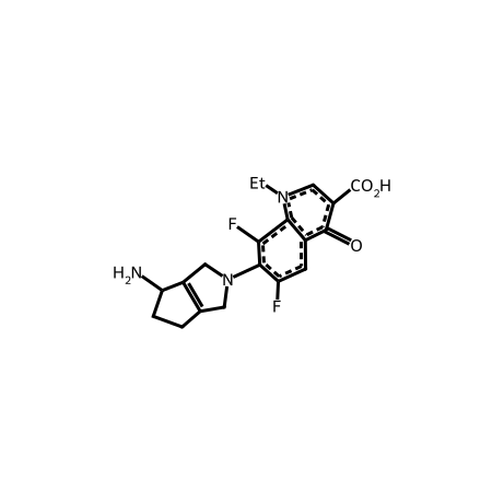 CCn1cc(C(=O)O)c(=O)c2cc(F)c(N3CC4=C(C3)C(N)CC4)c(F)c21